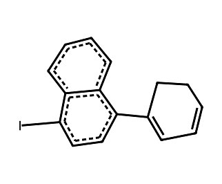 Ic1ccc(C2=CC=CCC2)c2ccccc12